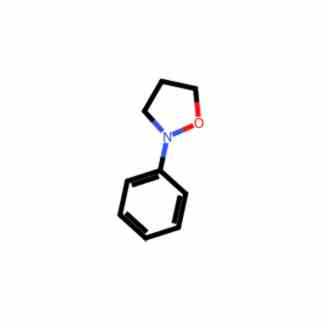 [c]1ccc(N2CCCO2)cc1